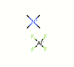 C[N+](C)(C)C.[F][Al-]([F])([F])[F]